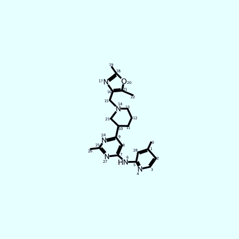 Cc1ccnc(Nc2cc(C3CCCN(Cc4nc(C)oc4C)C3)nc(C)n2)c1